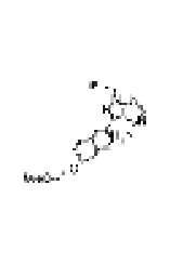 COCCOc1ccc2cc(-c3nn(CC(C)C)c4ncnc(N)c34)ccc2c1